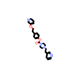 O=C(Oc1ccc(CCOc2cccnc2)cc1)N1CCN(CCc2cccnc2)CC1